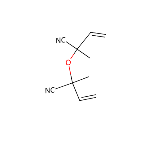 C=CC(C)(C#N)OC(C)(C#N)C=C